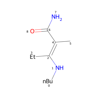 CCCCN/C(CC)=C(\C)C(N)=O